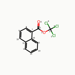 O=C(OC(Cl)(Cl)Cl)c1cccc2ccccc12